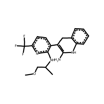 COCC(C)Nc1nc(C(F)(F)F)ccc1C1=C(N)Nc2[c]cccc2C1